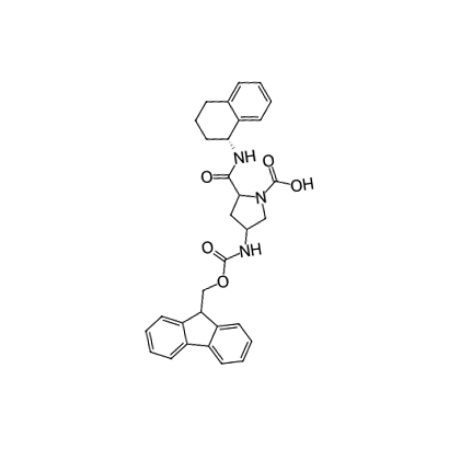 O=C(NC1CC(C(=O)N[C@@H]2CCCc3ccccc32)N(C(=O)O)C1)OCC1c2ccccc2-c2ccccc21